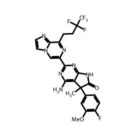 COc1cc(C2(C)C(=O)Nc3nc(-c4cn5ccnc5c(CCC(F)(F)C(F)(F)F)n4)nc(N)c32)ccc1F